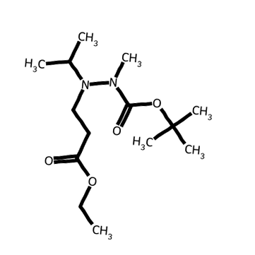 CCOC(=O)CCN(C(C)C)N(C)C(=O)OC(C)(C)C